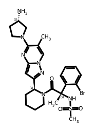 Cc1cn2nc([C@@H]3CCCCN3C(=O)[C@@](C)(NS(C)(=O)=O)c3ccccc3Br)cc2nc1N1CC[C@H](N)C1